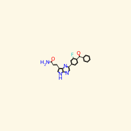 NC(=O)/C=C/c1c[nH]c2ncc(-c3ccc(C(=O)c4ccccc4)c(F)c3)nc12